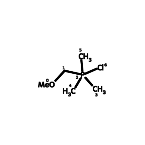 COCP(C)(C)(C)Cl